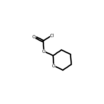 O=C(Cl)OC1CCCCO1